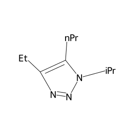 CCCc1c(CC)nnn1C(C)C